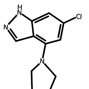 Clc1cc(N2CCCC2)c2cn[nH]c2c1